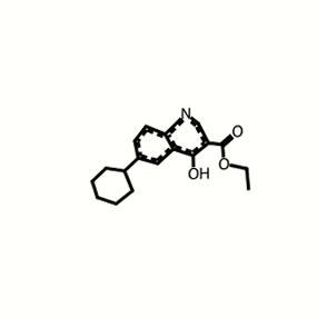 CCOC(=O)c1cnc2ccc(C3CCCCC3)cc2c1O